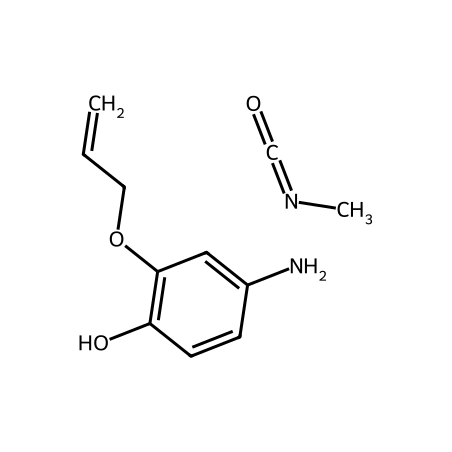 C=CCOc1cc(N)ccc1O.CN=C=O